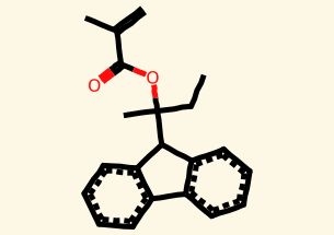 C=C(C)C(=O)OC(C)(CC)C1c2ccccc2-c2ccccc21